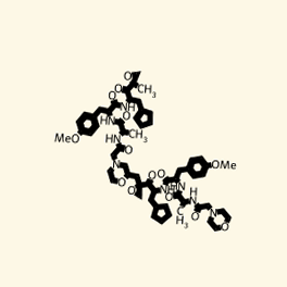 COc1ccc(CC(NC(=O)C(C)NC(=O)CN2CCOC(CC3(C(=O)C(CC4CCCC4)NC(=O)C(Cc4ccc(OC)cc4)NC(=O)C(C)NC(=O)CN4CCOCC4)CO3)C2)C(=O)NC(CC2=CCCC2)C(=O)C2(C)CO2)cc1